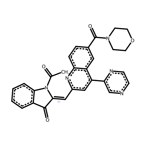 CC(=O)N1/C(=C\c2cc(-c3cnccn3)c3cc(C(=O)N4CCOCC4)ccc3n2)C(=O)c2ccccc21